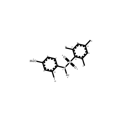 COc1ccc(N(C(C)=O)S(=O)(=O)c2c(C)cc(C)cc2C)c(I)c1